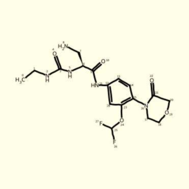 CCNC(=O)N[C@@H](CN)C(=O)Nc1ccc(N2CCOCC2=O)c(OC(F)F)c1